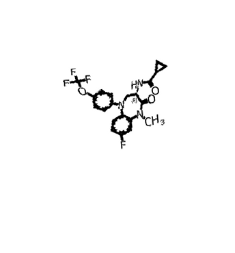 CN1C(=O)[C@H](NC(=O)C2CC2)CN(c2ccc(OC(F)(F)F)cc2)c2ccc(F)cc21